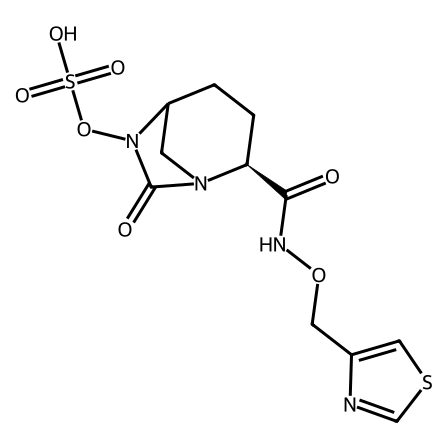 O=C(NOCc1cscn1)[C@@H]1CCC2CN1C(=O)N2OS(=O)(=O)O